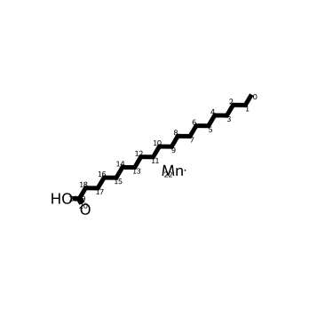 CCCCCCCCCCCCCCCCCCCC(=O)O.[Mn]